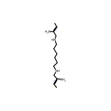 C/C=C(\N)CNCCCCCCNC/C(N)=C/C